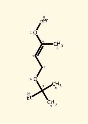 CCCO/C(C)=C/COC(C)(C)CC